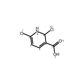 O=C(O)C1=CC=C(Cl)NC1Cl